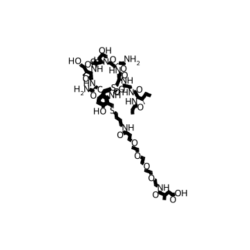 CCC(=O)N[C@H](C(=O)NCC(=O)N[C@H]1C[S+]([O-])c2[nH]c3c(CSCCCCNC(=O)CCOCCOCCOCCOCCNC(=O)C(C)CC(=O)O)c(O)ccc3c2C[C@@H](C(N)=O)NC(=O)[C@H]([C@@H](C)[C@@H](O)CO)NC(=O)[C@@H]2C[C@@H](O)CN2C(=O)[C@H](CC(N)=O)NC1=O)[C@@H](C)CC